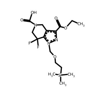 CCOC(=O)c1nn(COCC[Si](C)(C)C)c2c1CN(C(=O)O)CC2(F)F